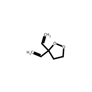 C=CC1(C=C)CCOO1